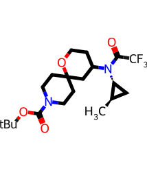 C[C@@H]1C[C@H]1N(C(=O)C(F)(F)F)C1CCOC2(CCN(C(=O)OC(C)(C)C)CC2)C1